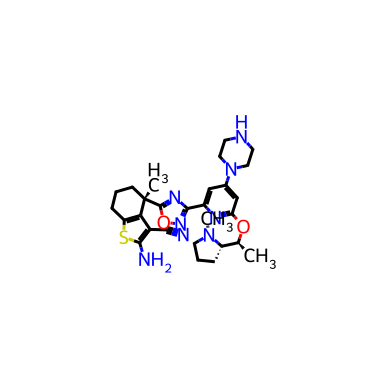 C[C@H](Oc1cc(N2CCNCC2)cc(-c2noc([C@@]3(C)CCCc4sc(N)c(C#N)c43)n2)n1)[C@@H]1CCCN1C